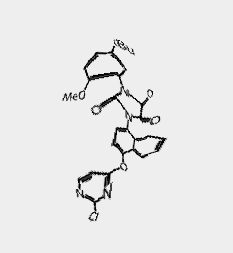 COc1ccc(C(C)(C)C)cc1N1C(=O)C(=O)N(c2ccc(Oc3ccnc(Cl)n3)c3ccccc23)C1=O